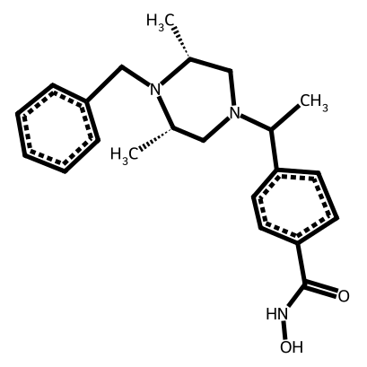 CC(c1ccc(C(=O)NO)cc1)N1C[C@@H](C)N(Cc2ccccc2)[C@@H](C)C1